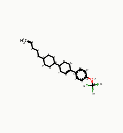 C=CCCCC1CCC(C2CC=C(c3ccc(OC(F)(F)F)cc3)CC2)CC1